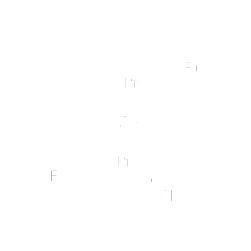 CCC(C)(C1=[C]([Zr+2][C]2=C(C(C)(CC)C(C)C)C=CC2)CC=C1)C(C)C.[Cl-].[Cl-]